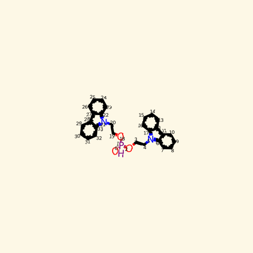 O=[PH](OCCn1c2ccccc2c2ccccc21)OCCn1c2ccccc2c2ccccc21